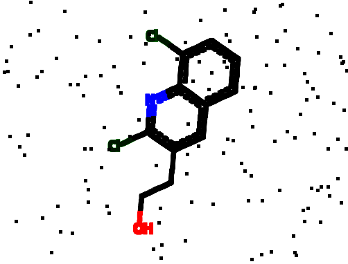 OCCc1cc2cccc(Cl)c2nc1Cl